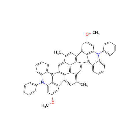 COc1cc2c3c(c1)N(c1ccccc1)c1ccccc1B3c1cc3c(C)cc4c5c(cc6c(C)cc-2c1c6c35)B1c2ccccc2N(c2ccccc2)c2cc(OC)cc-4c21